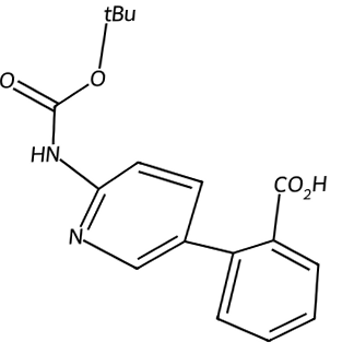 CC(C)(C)OC(=O)Nc1ccc(-c2ccccc2C(=O)O)cn1